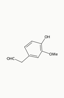 COc1cc(C[C]=O)ccc1O